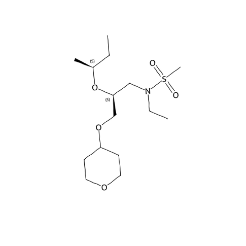 CC[C@H](C)O[C@H](COC1CCOCC1)CN(CC)S(C)(=O)=O